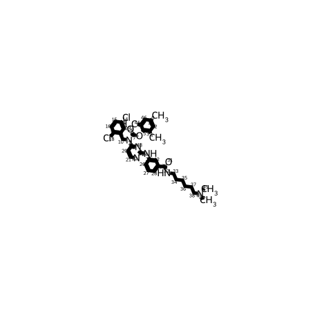 Cc1cc(C)c(OC(=O)N(Cc2cc(Cl)ccc2Cl)c2ccnc(Nc3cccc(C(=O)NCCCCCCN(C)C)c3)n2)c(C)c1